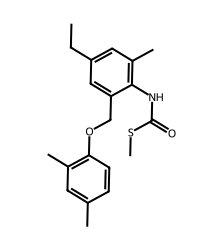 CCc1cc(C)c(NC(=O)SC)c(COc2ccc(C)cc2C)c1